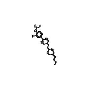 CCCCC1COC(CCC2COC(c3ccc(OC(F)F)c(F)c3)OC2)OC1